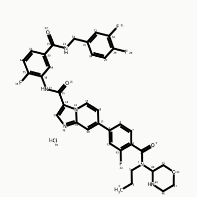 CCCN(C(=O)c1ccc(-c2ccn3c(C(=O)Nc4cc(C(=O)NCc5ccc(F)c(F)c5)ccc4F)cnc3c2)cc1F)C1COCCN1.Cl